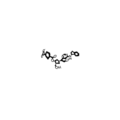 O=C(O[C@H]1C[C@@H](c2coc3c(N[C@H]4CCc5ccccc54)ncnc23)C[C@H]1CO)c1ccc([N+](=O)[O-])cc1